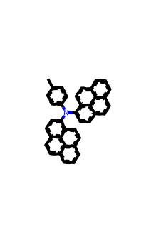 Cc1ccc(N(c2ccc3ccc4cccc5ccc2c3c45)c2ccc3ccc4cccc5ccc2c3c45)cc1